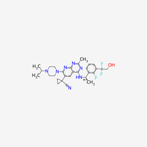 Cc1nc(N[C@H](C)c2cccc(C(F)(F)CO)c2F)c2cc(C3(C#N)CC3)c(N3CCN(C(C)C)CC3)nc2n1